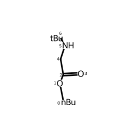 CCCCOC(=O)CNC(C)(C)C